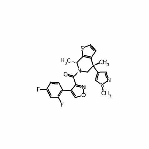 C[C@@H]1c2sccc2[C@](C)(c2cnn(C)c2)CN1C(=O)c1nocc1-c1ccc(F)cc1F